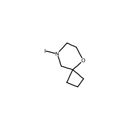 IN1CCOC2(CCC2)C1